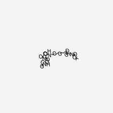 CC(C)(C)OC(=O)N1CC(S(=O)(=O)CCCOCCOCCNc2cccc3c2C(=O)N(C2CCC(=O)NC2=O)C3=O)C1